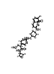 Cc1ccc2ccc(N[C@H]3CC[C@H](CNc4ncc(C(COI)C(=O)NC5COC5)cn4)CC3)nc2c1Cl